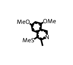 COc1cc(OC)c2cnc(C)c(SC)c2c1